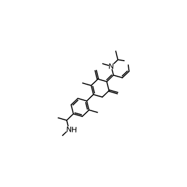 C=C1CC(c2ccc(C(C)NC)cc2C)=C(C)C(=C)/C1=C(/C=C\C)N(C)C(C)C